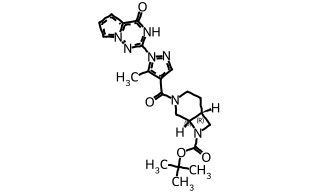 Cc1c(C(=O)N2CC[C@@H]3CN(C(=O)OC(C)(C)C)[C@@H]3C2)cnn1-c1nn2cccc2c(=O)[nH]1